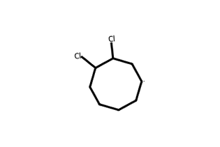 ClC1C[CH]CCCCC1Cl